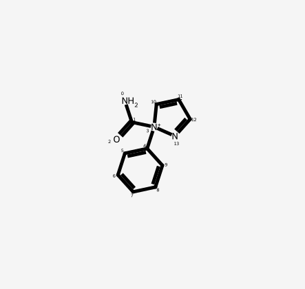 NC(=O)[N+]1(c2ccccc2)C=[C]C=N1